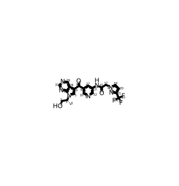 C[C@H](CO)n1cc(C(=O)c2cncc(NC(=O)Cn3ccc(C(F)(F)F)n3)c2)c2cncnc21